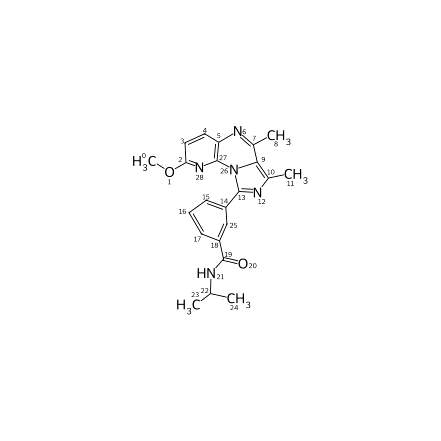 COc1ccc2nc(C)c3c(C)nc(-c4cccc(C(=O)NC(C)C)c4)n3c2n1